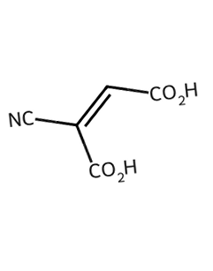 N#CC(=CC(=O)O)C(=O)O